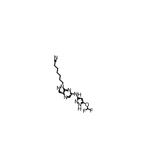 N#CCCCCCCn1ncc2ncc(Nc3cc(OC(F)F)[nH]n3)nc21